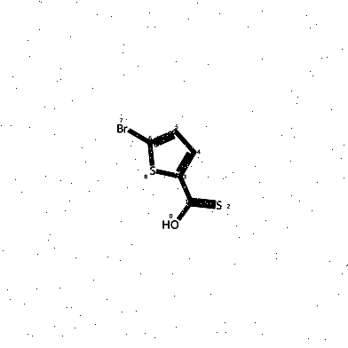 OC(=S)c1ccc(Br)s1